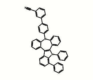 N#Cc1cccc(-c2ccc(N3c4ccccc4-c4c(n(-c5ccccc5)c5c(-c6ccccc6)cccc45)-c4ccccc43)cc2)c1